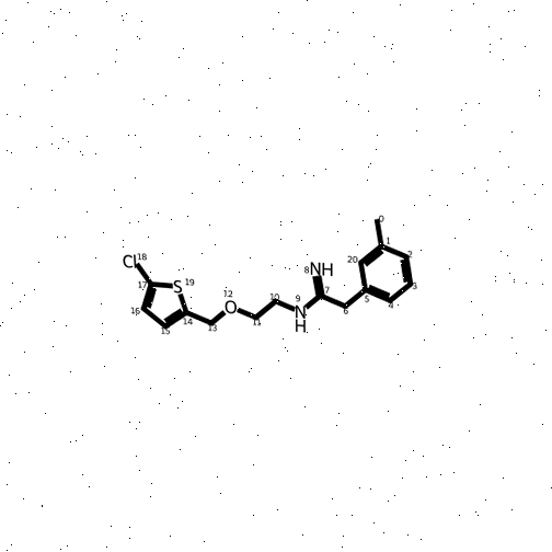 Cc1cccc(CC(=N)NCCOCc2ccc(Cl)s2)c1